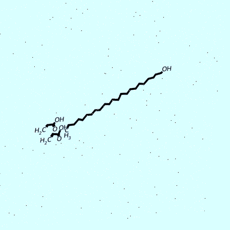 C=CC(=O)O.C=CC(=O)O.CCCCCCCCCCCCCCCCCCCCCCCO